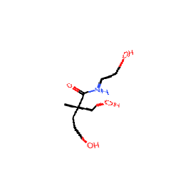 CC(CO)(CO)C(=O)NCCO